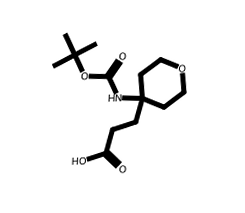 CC(C)(C)OC(=O)NC1(CCC(=O)O)CCOCC1